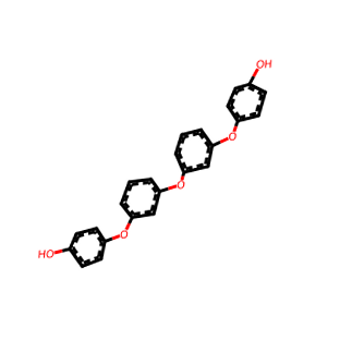 Oc1ccc(Oc2cccc(Oc3cccc(Oc4ccc(O)cc4)c3)c2)cc1